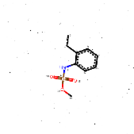 CCc1ccccc1NS(=O)(=O)OC